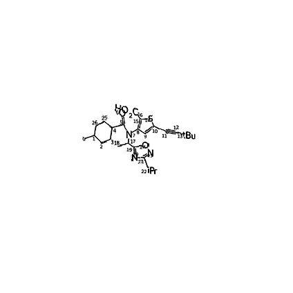 CC1CCC(C(=O)N(c2cc(C#CC(C)(C)C)sc2C(=O)O)C(C)c2nc(C(C)C)no2)CC1